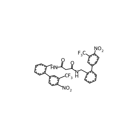 O=C(CC(=O)NCc1ccccc1-c1ccc([N+](=O)[O-])c(C(F)(F)F)c1)NCc1ccccc1-c1ccc([N+](=O)[O-])c(C(F)(F)F)c1